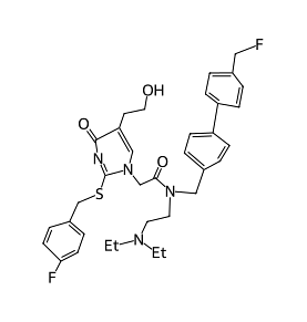 CCN(CC)CCN(Cc1ccc(-c2ccc(CF)cc2)cc1)C(=O)Cn1cc(CCO)c(=O)nc1SCc1ccc(F)cc1